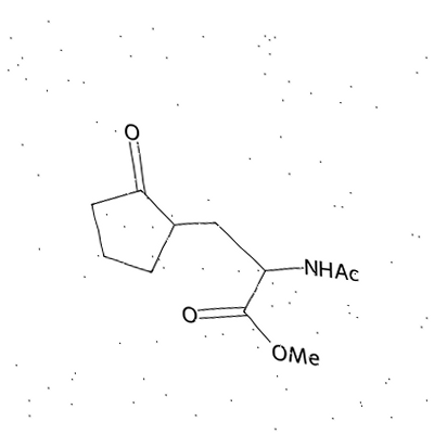 COC(=O)C(CC1CCCC1=O)NC(C)=O